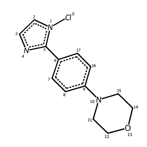 Cln1ccnc1-c1ccc(N2CCOCC2)cc1